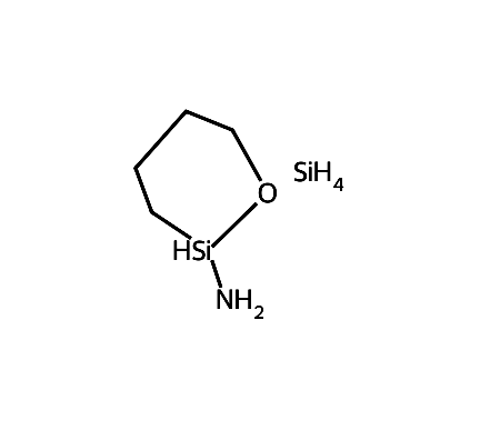 N[SiH]1CCCCO1.[SiH4]